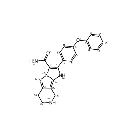 NC(=O)c1c(-c2ccc(Oc3ccccc3)cc2)[nH]c2c3c(nn12)CCNC3